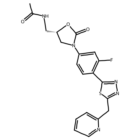 CC(=O)NC[C@H]1CN(c2ccc(-c3nnc(Cc4ccccn4)s3)c(F)c2)C(=O)O1